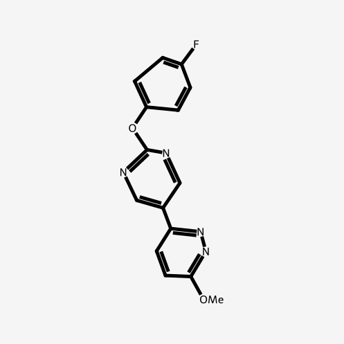 COc1ccc(-c2cnc(Oc3ccc(F)cc3)nc2)nn1